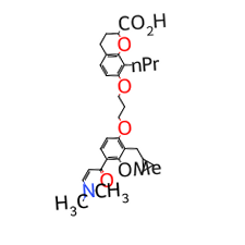 CCCc1c(OCCCOc2ccc(C(=O)/C=C\N(C)C)c(OC)c2CC2CC2)ccc2c1OC(C(=O)O)CC2